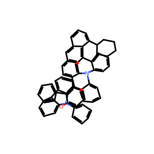 c1ccc(-n2c3ccccc3c3cccc(-c4ccccc4N(c4ccccc4-c4cccc5cccc(C6CCCCC6)c45)c4ccccc4-c4cccc5oc6ccccc6c45)c32)cc1